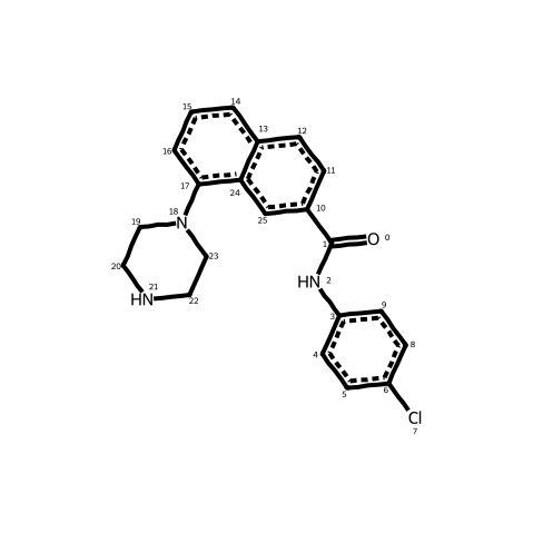 O=C(Nc1ccc(Cl)cc1)c1ccc2cccc(N3CCNCC3)c2c1